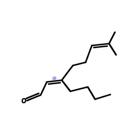 CCCC/C(=C\C=O)CCC=C(C)C